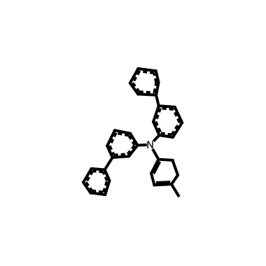 CC1=CC=C(N(c2cccc(-c3ccccc3)c2)c2cccc(-c3ccccc3)c2)CC1